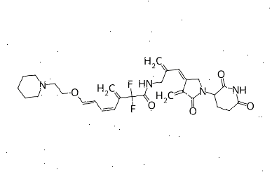 C=C(/C=C1/CN(C2CCC(=O)NC2=O)C(=O)C1=C)CNC(=O)C(F)(F)C(=C)/C=C\C=C\OCCN1CCCCC1